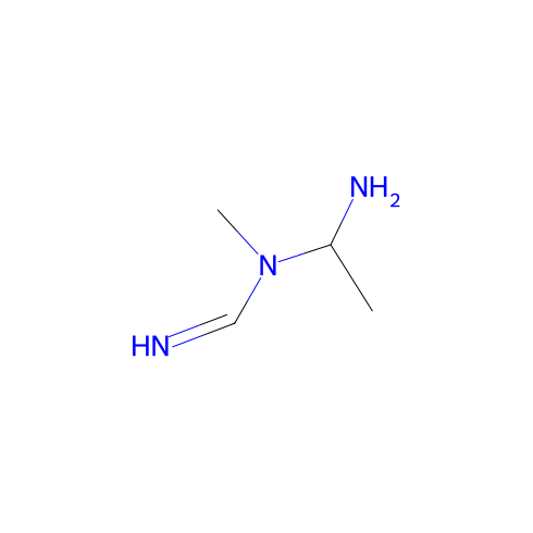 CC(N)N(C)C=N